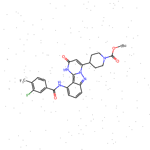 CC(C)(C)OC(=O)N1CCC(c2cc(=O)[nH]c3c4c(NC(=O)c5ccc(C(F)(F)F)c(F)c5)cccc4nn23)CC1